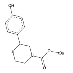 CC(C)(C)OC(=O)N1CCSC(c2ccc(O)cc2)C1